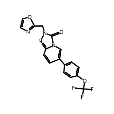 O=c1n(Cc2ncco2)nc2ccc(-c3ccc(OC(F)(F)F)cc3)cn12